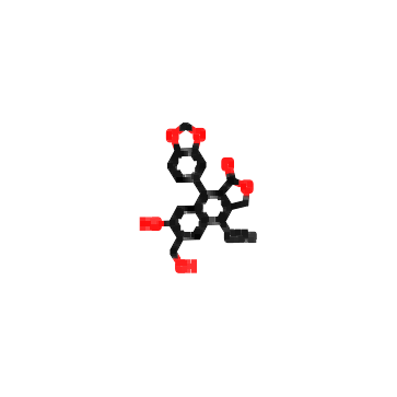 COc1c2c(c(-c3ccc4c(c3)OCO4)c3cc(O)c(CO)cc13)C(=O)OC2